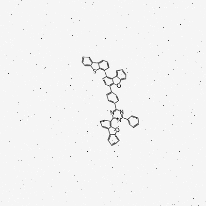 c1ccc(-c2nc(-c3ccc(-c4ccc(-c5cccc6c5sc5ccccc56)c5c4oc4ccccc45)cc3)nc(-c3cccc4c3oc3ccccc34)n2)cc1